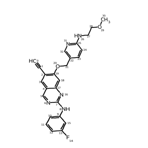 C#Cc1cc2cnc(Nc3cccc(F)c3)nc2cc1OCc1ccc(NCCOC)nc1